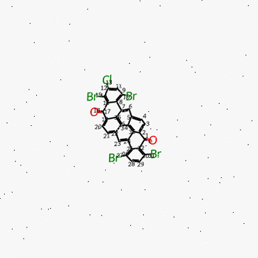 O=c1c2ccc3cc4c5c(Br)cc(Cl)c(Br)c5c(=O)c5ccc6cc(c7c(Br)ccc(Br)c17)c2c3c6c54